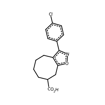 O=C(O)C1CCCCc2c(-c3ccc(Cl)cc3)noc2C1